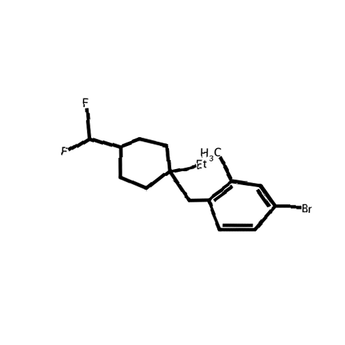 CCC1(Cc2ccc(Br)cc2C)CCC(C(F)F)CC1